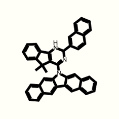 CC1(C)C2=C(NC(c3ccc4ccccc4c3)N=C2n2c3cc4ccccc4cc3c3cc4ccccc4cc32)c2ccccc21